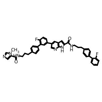 Cn1cncc1C(=O)NCCCc1ccc(-c2cc(-c3cnc4[nH]c(C(=O)NCCCc5ccc(-c6ccccc6F)cc5)cc4c3)ccc2F)cc1